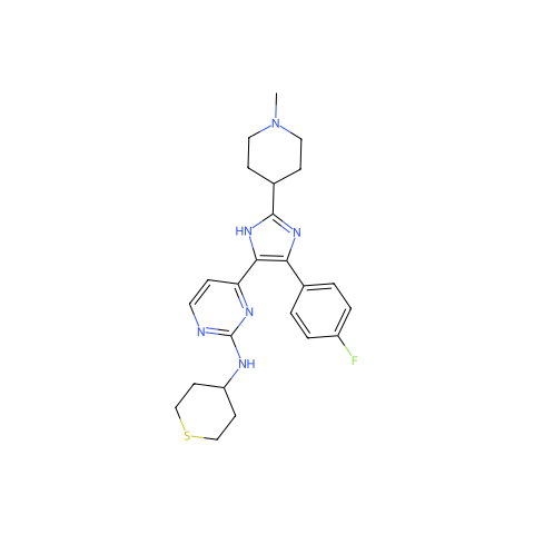 CN1CCC(c2nc(-c3ccc(F)cc3)c(-c3ccnc(NC4CCSCC4)n3)[nH]2)CC1